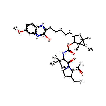 CCC1CCN(C(=O)C(NC(=O)OC2[C@H](CCCCCc3nc4ccc(OC)cc4nc3O)C[C@@H]3[C@H](C)[C@H]23)C(C)(C)C)[C@@H]1C(C)=O